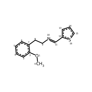 COc1ccccc1CCN=Cc1cccs1